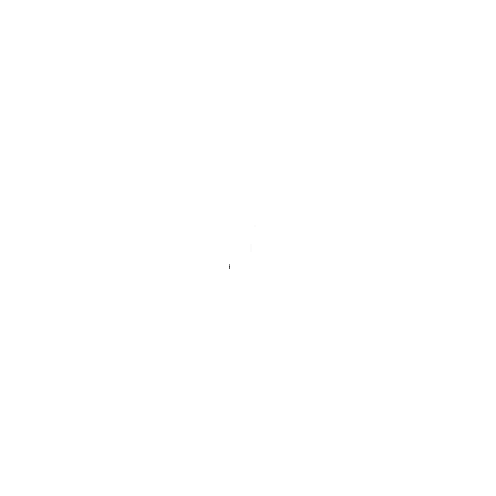 [Ba].[Cu].[Gd].[Yb]